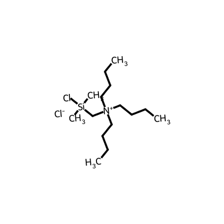 CCCC[N+](CCCC)(CCCC)C[Si](C)(C)Cl.[Cl-]